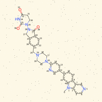 Cn1c2ccncc2c2ccc(-c3ccc(N4CCN(Cc5ccc6c(c5)CN(N5CCC(=O)NC5=O)C6=O)CC4)nc3)cc21